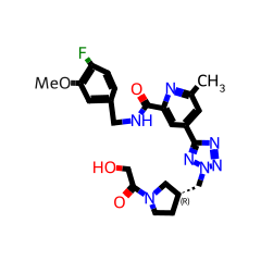 COc1cc(CNC(=O)c2cc(-c3nnn(C[C@@H]4CCN(C(=O)CO)C4)n3)cc(C)n2)ccc1F